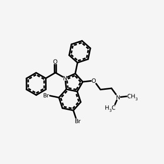 CN(C)CCOc1c(-c2ccccc2)n(C(=O)c2ccccc2)c2c(Br)cc(Br)cc12